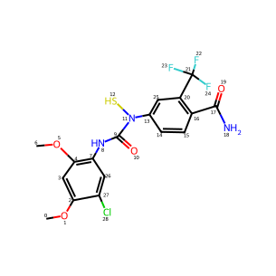 COc1cc(OC)c(NC(=O)N(S)c2ccc(C(N)=O)c(C(F)(F)F)c2)cc1Cl